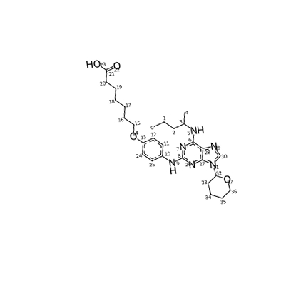 CCCC(C)Nc1nc(Nc2ccc(OCCCCCCC(=O)O)cc2)nc2c1ncn2C1CCCCO1